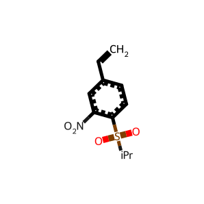 C=Cc1ccc(S(=O)(=O)C(C)C)c([N+](=O)[O-])c1